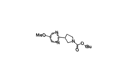 COc1cnc(C2CCN(C(=O)OC(C)(C)C)C2)nc1